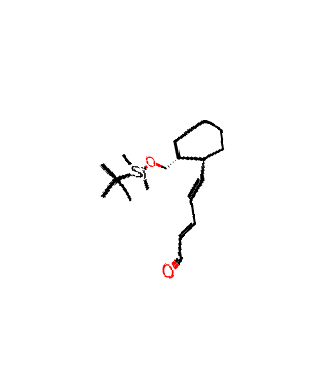 CC(C)(C)[Si](C)(C)OC[C@@H]1CCCC[C@H]1/C=C/C=C/C=O